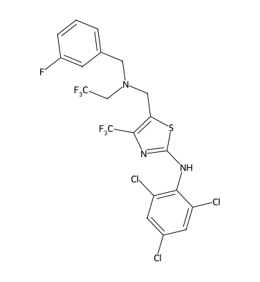 Fc1cccc(CN(Cc2sc(Nc3c(Cl)cc(Cl)cc3Cl)nc2C(F)(F)F)CC(F)(F)F)c1